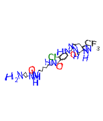 NC1CC(NC(=O)NCCCCCCNC(=O)c2ccc(NC(=O)c3ncc(Cc4c(C(F)(F)F)n[nH]c4C4CC4)[nH]3)cc2Cl)C1